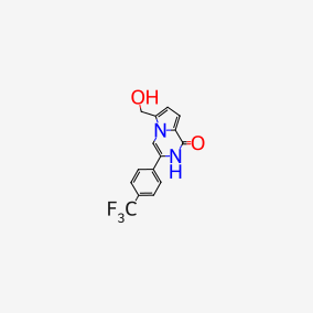 O=c1[nH]c(-c2ccc(C(F)(F)F)cc2)cn2c(CO)ccc12